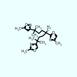 Cc1coc(C(C)(CCC(C)(C)c2cc(C)on2)CCC(C)(C)c2coc(C)n2)n1